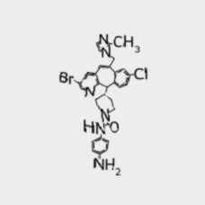 Cc1nccn1CC1=Cc2cc(Br)cnc2C(C2CCN(C(=O)Nc3ccc(N)cc3)CC2)c2ccc(Cl)cc21